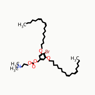 CCCCC/C=C\C/C=C\CCCCCCCCOc1cc(COC(=O)OCCCN(C)C)cc(OCCCCCCCC/C=C\C/C=C\CCCCC)c1Br